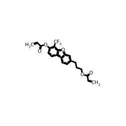 C=CC(=O)OCCCc1ccc2c(c1)oc1c(C(F)(F)F)c(OC(=O)C=C)ccc12